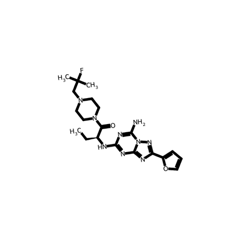 CC[C@H](Nc1nc(N)n2nc(-c3ccco3)nc2n1)C(=O)N1CCN(CC(C)(C)F)CC1